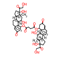 C[C@]12C[C@H](O)[C@H]3[C@@H](CCC4=CC(=O)CC(OC(=O)CCC(=O)OC5CC(=O)C=C6CC[C@@H]7[C@H]([C@@H](O)C[C@@]8(C)[C@H]7CC[C@]8(O)C(=O)CO)[C@]65C)[C@@]43C)[C@@H]1CC[C@]2(O)C(=O)CO